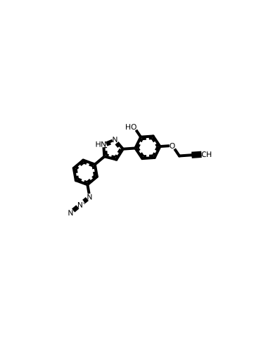 C#CCOc1ccc(-c2cc(-c3cccc(N=[N+]=[N-])c3)[nH]n2)c(O)c1